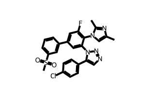 Cc1cn(-c2c(F)cc(-c3cccc(S(C)(=O)=O)c3)cc2-n2nncc2-c2ccc(Cl)cc2)c(C)n1